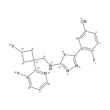 N#Cc1ccc(F)c(-c2nnc(NCC3(c4ncccc4F)CC(F)C3)s2)c1